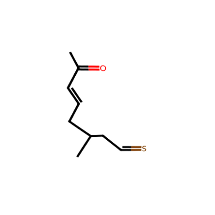 CC(=O)C=CCC(C)CC=S